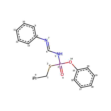 CC(C)CSP(=O)(NC=Nc1ccccc1)Oc1ccccc1